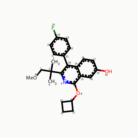 COCC(C)(C)c1nc(OC2CCC2)c2cc(O)ccc2c1-c1ccc(F)cc1